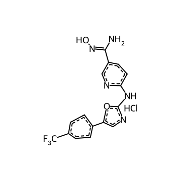 Cl.NC(=NO)c1ccc(Nc2ncc(-c3ccc(C(F)(F)F)cc3)o2)nc1